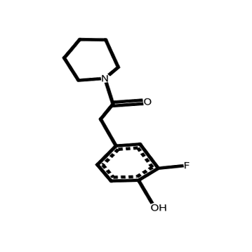 O=C(Cc1ccc(O)c(F)c1)N1CCCCC1